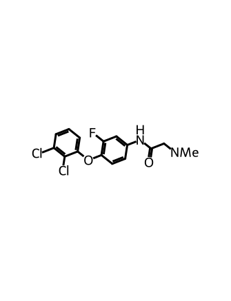 CNCC(=O)Nc1ccc(Oc2cccc(Cl)c2Cl)c(F)c1